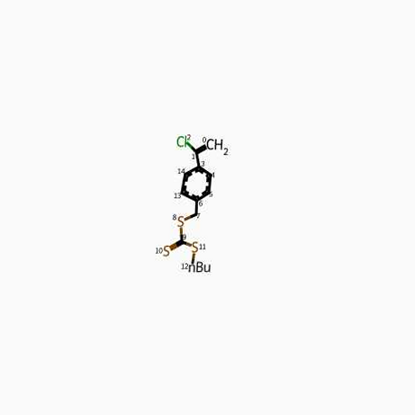 C=C(Cl)c1ccc(CSC(=S)SCCCC)cc1